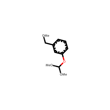 COCc1cccc(OC(OC)OC)c1